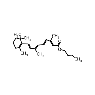 CCCCOC(=O)C=C(C)C=CC=C(C)C=CC1=C(C)CCCC1(C)C